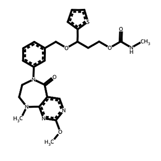 CNC(=O)OCCC(OCc1cccc(N2CCN(C)c3nc(OC)ncc3C2=O)c1)c1cccs1